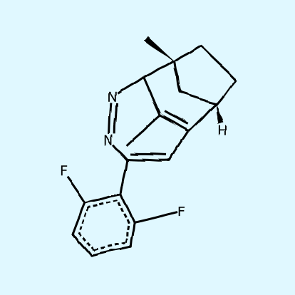 CC1=C2C=C(c3c(F)cccc3F)N=NC1[C@]1(C)CC[C@H]2C1